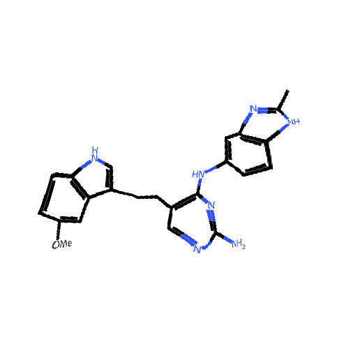 COc1ccc2[nH]cc(CCc3cnc(N)nc3Nc3ccc4[nH]c(C)nc4c3)c2c1